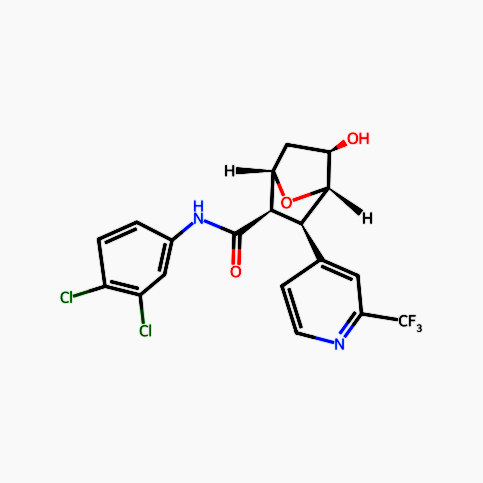 O=C(Nc1ccc(Cl)c(Cl)c1)[C@@H]1[C@H](c2ccnc(C(F)(F)F)c2)[C@@H]2O[C@H]1C[C@H]2O